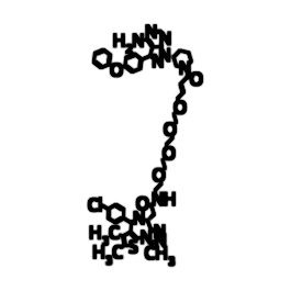 Cc1sc2c(c1C)C(c1ccc(Cl)cc1)=N[C@@H](CC(=O)NCCOCCOCCOCCOC/C=C/C(=O)N1CCC[C@@H](n3nc(-c4ccc(Oc5ccccc5)cc4)c4c(N)ncnc43)C1)c1nnc(C)n1-2